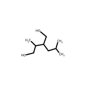 CC(C)CC(CO)C(C)CO